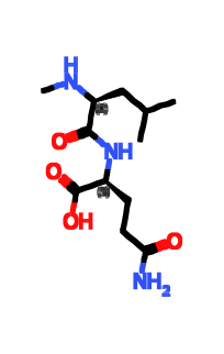 CN[C@@H](CC(C)C)C(=O)N[C@@H](CCC(N)=O)C(=O)O